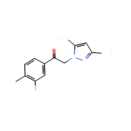 CCOC(=O)c1cc(C(=O)OCC)n(CC(=O)c2ccc(C)c(F)c2)n1